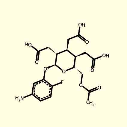 CC(=O)OC[C@@H]1O[C@@H](Oc2cc(N)ccc2F)[C@H](CC(=O)O)[C@@H](CC(=O)O)[C@H]1CC(=O)O